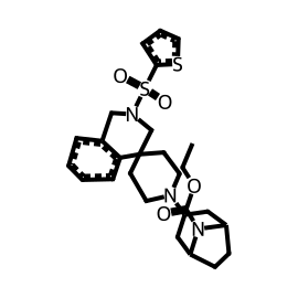 CCOC(=O)N1C2CCC1CC(N1CCC3(CC1)CN(S(=O)(=O)c1cccs1)Cc1ccccc13)C2